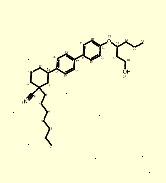 CCCCCCCC1(C#N)CCCC(c2ccc(-c3ccc(OC(CCC)CCO)cc3)cc2)C1